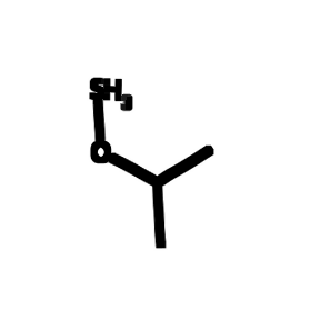 CC(C)O[SH3]